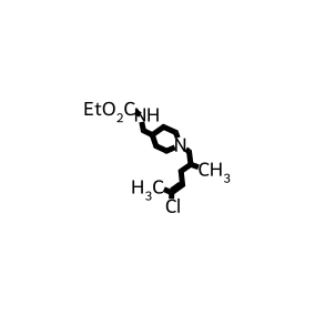 CCOC(=O)NCC1CCN(CC(C)C/C=C(\C)Cl)CC1